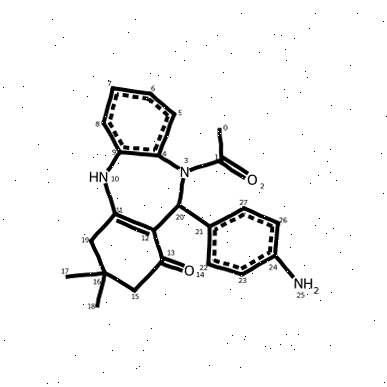 CC(=O)N1c2ccccc2NC2=C(C(=O)CC(C)(C)C2)C1c1ccc(N)cc1